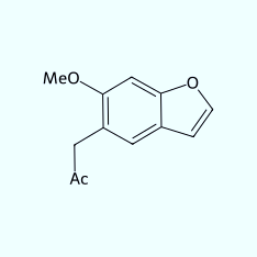 COc1cc2occc2cc1CC(C)=O